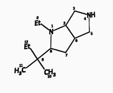 CCN1C2CNCC2CC1C(C)(C)CC